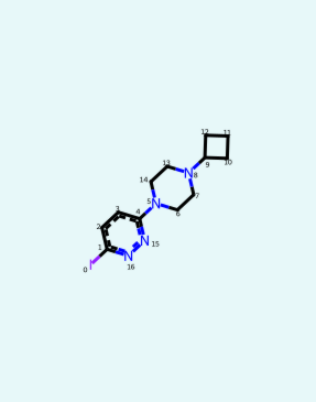 Ic1ccc(N2CCN(C3CCC3)CC2)nn1